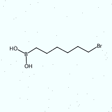 OB(O)CCCCCCBr